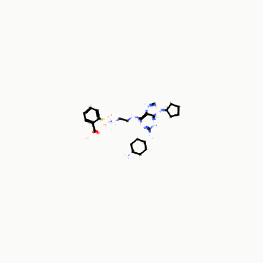 N[C@H]1CC[C@H](Nc2nc(NCCNS(=O)(=O)c3ccccc3C(=O)O)c3ncn(C4CCCC4)c3n2)CC1